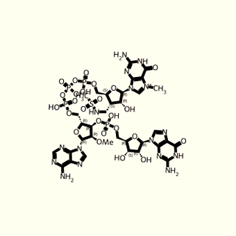 CO[C@@H]1[C@H](OP(=O)(O)OC[C@H]2O[C@@H](n3cnc4c(=O)[nH]c(N)nc43)[C@H](O)[C@@H]2O)[C@@H](COP(=O)(O)OP(=O)(O)OP(=O)(O)OC[C@H]2O[C@@H](n3c[n+](C)c4c(=O)[nH]c(N)nc43)[C@H](O)[C@@H]2CNS(C)(=O)=O)O[C@H]1n1cnc2c(N)ncnc21